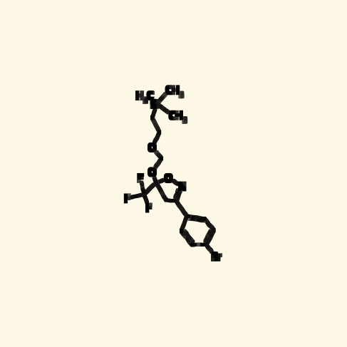 C[Si](C)(C)CCOCOC1(C(F)(F)F)CC(c2ccc(Br)cc2)=NO1